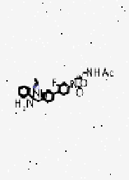 C/C=C/NC(N)(Cc1ccc(-c2ccc(N3C[C@H](CNC(C)=O)OC3=O)cc2F)cc1)c1ccccc1